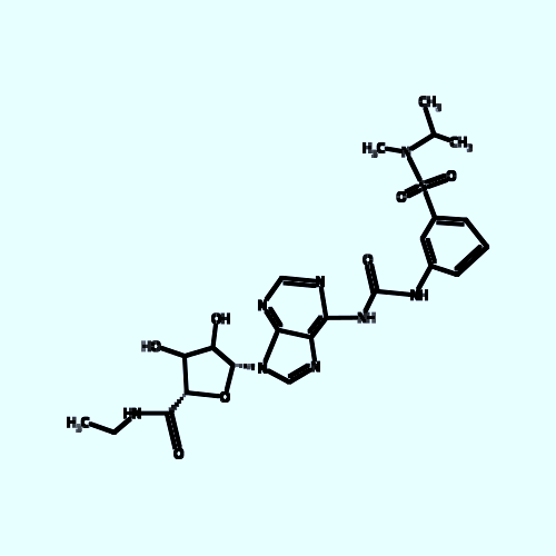 CCNC(=O)[C@H]1O[C@@H](n2cnc3c(NC(=O)Nc4cccc(S(=O)(=O)N(C)C(C)C)c4)ncnc32)C(O)C1O